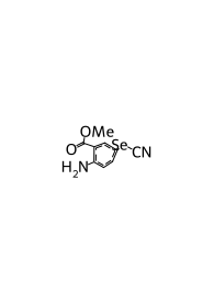 COC(=O)c1cc([Se]C#N)ccc1N